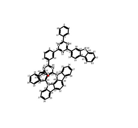 c1ccc(-c2nc(-c3cccc(-c4nc(-c5ccccc5)nc(-n5c6ccccc6c6ccc7c8ccccc8n(-c8ccccc8)c7c65)n4)c3)nc(-c3ccc4c(c3)sc3ccccc34)n2)cc1